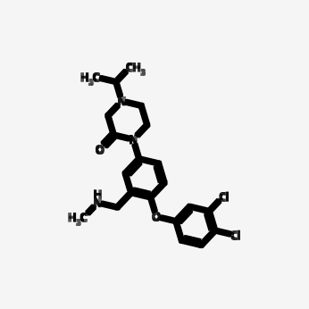 CNCc1cc(N2CCN(C(C)C)CC2=O)ccc1Oc1ccc(Cl)c(Cl)c1